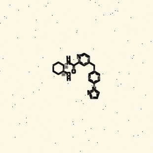 O=C(N[C@H]1CCCC[C@@H]1O)c1cc(Cc2ccc(-n3cccn3)cc2)ccn1